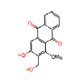 COc1c(CO)c(O)cc2c1C(=O)c1ccccc1C2=O